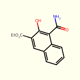 CCOC(=O)c1cc2ccccc2c(C(N)=O)c1O